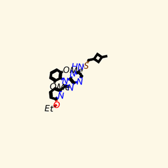 CCOc1cccc(-c2nc3ncc(NSCC4CC(C)C4)nc3n2-c2c(OC)cccc2OC)n1